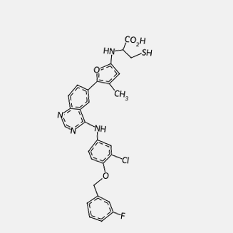 Cc1cc(NC(CS)C(=O)O)oc1-c1ccc2ncnc(Nc3ccc(OCc4cccc(F)c4)c(Cl)c3)c2c1